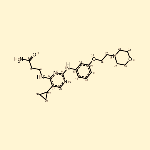 NC(=O)CCNc1nc(Nc2cccc(OCCN3CCOCC3)c2)ncc1C1CC1